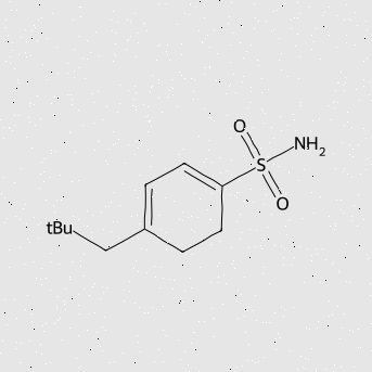 CC(C)(C)CC1=CC=C(S(N)(=O)=O)CC1